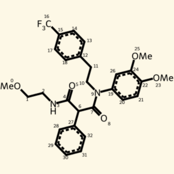 COCCNC(=O)C(C(=O)N(CCc1ccc(C(F)(F)F)cc1)c1ccc(OC)c(OC)c1)c1ccccc1